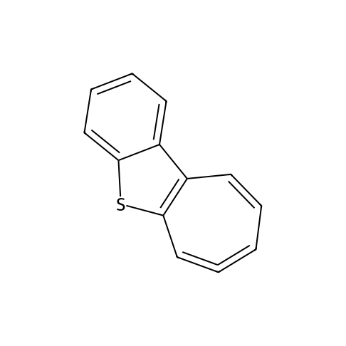 C1=CC=Cc2c(sc3ccccc23)C=1